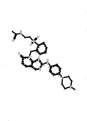 CC(=O)NCCS(=O)(=O)c1ccccc1Cn1c(=O)ccc2cnc(Nc3ccc(N4CCN(C)CC4)cc3)nc21